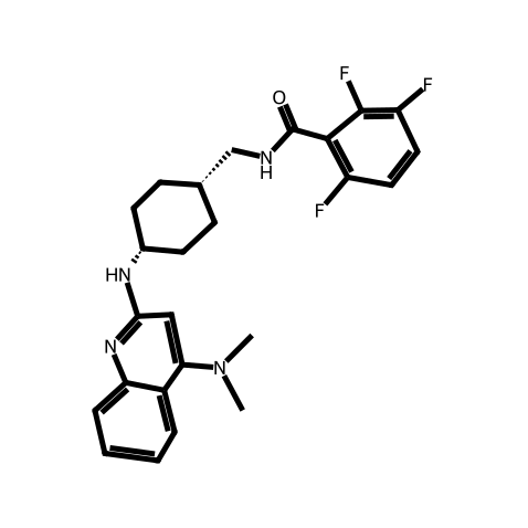 CN(C)c1cc(N[C@H]2CC[C@@H](CNC(=O)c3c(F)ccc(F)c3F)CC2)nc2ccccc12